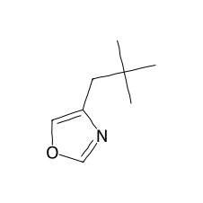 CC(C)(C)Cc1cocn1